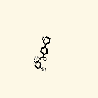 CCc1ccnc(NC(=O)c2ccc(-c3cccnc3)cc2)c1